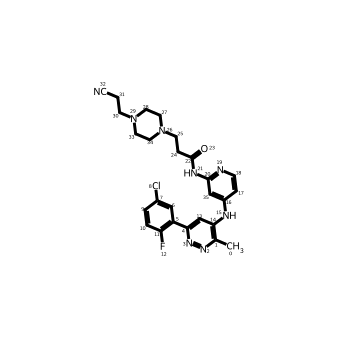 Cc1nnc(-c2cc(Cl)ccc2F)cc1Nc1ccnc(NC(=O)CCN2CCN(CCC#N)CC2)c1